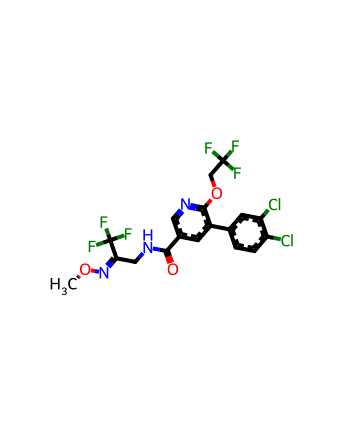 CO/N=C(/CNC(=O)c1cnc(OCC(F)(F)F)c(-c2ccc(Cl)c(Cl)c2)c1)C(F)(F)F